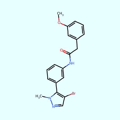 COc1cccc(CC(=O)Nc2cccc(-c3c(Br)cnn3C)c2)c1